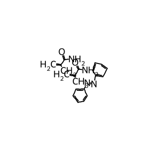 C=C(C)C(N)=O.C=C(C)C(N)=O.c1ccc(N=Nc2ccccc2)cc1